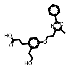 Cc1oc(-c2ccccc2)nc1CCOc1ccc(CCC(=O)O)c(CCO)c1